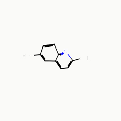 Cc1ccc2cc(C=O)ccc2n1